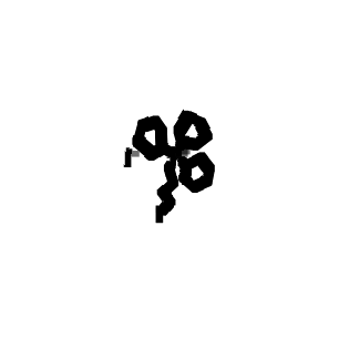 ICCCC[P+](c1ccccc1)(c1ccccc1)c1ccccc1.[I-]